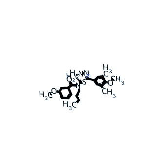 C=C(S/C(=N\N)c1cc(C)c(OC)c(C)c1)N(CCCC)C(=O)C1C=CC=C(OC)C1